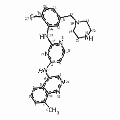 Cc1cccc2c(Nc3ccnc(Nc4cc(CN5CCNCC5)ccc4F)n3)cnnc12